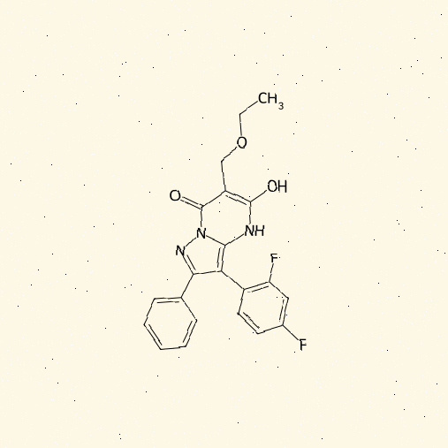 CCOCc1c(O)[nH]c2c(-c3ccc(F)cc3F)c(-c3ccccc3)nn2c1=O